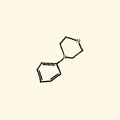 c1ccc(N2CC[N]CC2)cc1